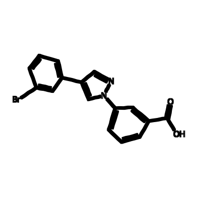 O=C(O)c1cccc(-n2cc(-c3cccc(Br)c3)cn2)c1